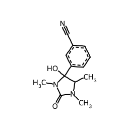 CC1N(C)C(=O)N(C)C1(O)c1cccc(C#N)c1